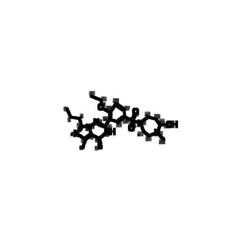 CCCc1nc(C)c2c(=S)[nH]c(-c3cc(S(=O)(=O)N4CCC(O)N(C)CC4)ccc3OCC)nn12